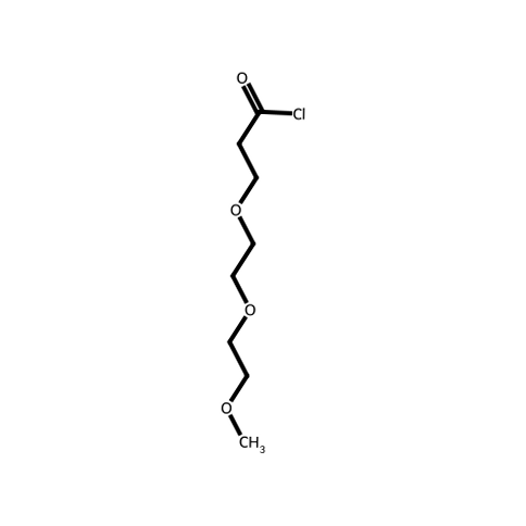 COCCOCCOCCC(=O)Cl